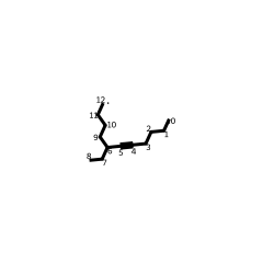 [CH2]CCCC#CC(CC)CCC[CH2]